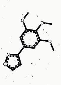 COc1cc(-c2ccon2)cc(OC)c1OC